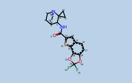 O=C(NC1C2CCN(CC2)C12CC2)c1cc2ccc3c(c2s1)OC(F)(F)O3